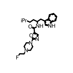 CC(C)CCC(Cc1c[nH]c2ccccc12)NC(=O)c1cnc(N2CCN(CCF)CC2)o1